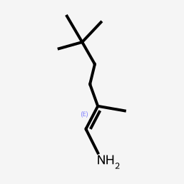 C/C(=C\N)CCC(C)(C)C